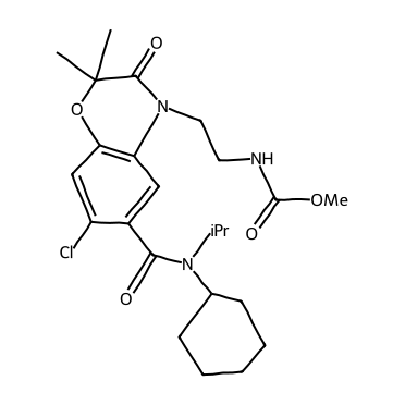 COC(=O)NCCN1C(=O)C(C)(C)Oc2cc(Cl)c(C(=O)N(C(C)C)C3CCCCC3)cc21